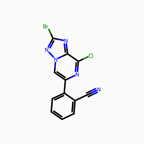 N#Cc1ccccc1-c1cn2nc(Br)nc2c(Cl)n1